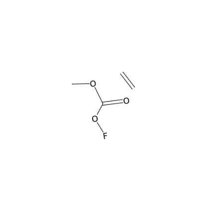 C=C.COC(=O)OF